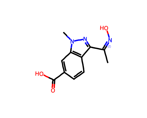 C/C(=N/O)c1nn(C)c2cc(C(=O)O)ccc12